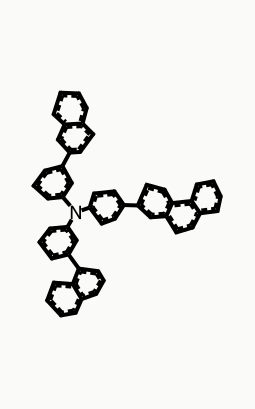 c1cc(-c2ccc3ccccc3c2)cc(N(c2ccc(-c3ccc4c(ccc5ccccc54)c3)cc2)c2cccc(-c3cccc4ccccc34)c2)c1